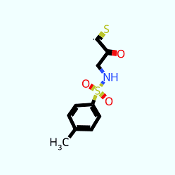 Cc1ccc(S(=O)(=O)NCC(=O)[C]=S)cc1